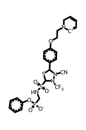 N#CN1C(c2ccc(OCCN3[C+]=CC=CC3)cc2)SC(S(=O)(=O)NCP(=O)([O-])Oc2ccccc2)N1C(F)(F)F